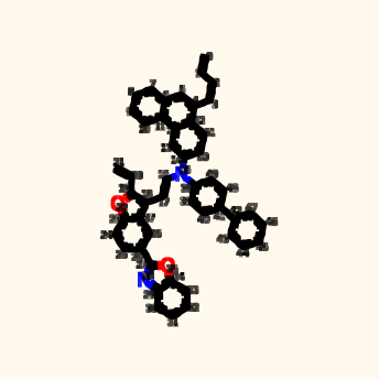 C=C/C=C\c1cc2ccccc2c2cc(N(/C=C/c3c(C=C)oc4ccc(-c5nc6ccccc6o5)cc34)c3ccc(-c4ccccc4)cc3)ccc12